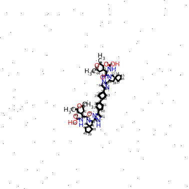 C[C@@H]1CC([C@H](NC(=O)O)C(=O)N2CC3(CCCC3)C[C@H]2c2nc(-c3ccc(-c4ccc(-c5c[nH]c([C@@H]6CC7(CCCC7)CN6C(=O)[C@@H](NC(=O)O)C6C[C@@H](C)O[C@H](C)C6)n5)cc4)cc3)c[nH]2)C[C@@H](C)O1